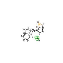 CP1CC2=CC[C]([Zr+2][CH]3C=Cc4ccccc43)=C21.[Cl-].[Cl-]